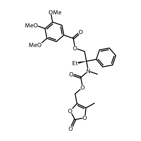 CC[C@@](COC(=O)c1cc(OC)c(OC)c(OC)c1)(c1ccccc1)N(C)C(=O)OCc1oc(=O)oc1C